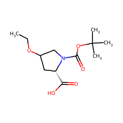 CCOC1C[C@@H](C(=O)O)N(C(=O)OC(C)(C)C)C1